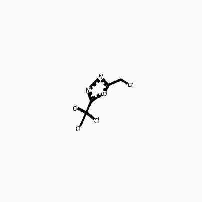 ClCc1nnc(C(Cl)(Cl)Cl)o1